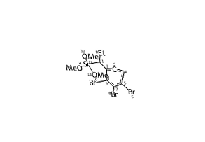 CCC(c1ccc(Br)c(Br)c1Br)[Si](OC)(OC)OC